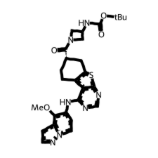 COc1c(Nc2ncnc3sc4c(c23)CC[C@H](C(=O)N2CC(NC(=O)OC(C)(C)C)C2)C4)ccn2nccc12